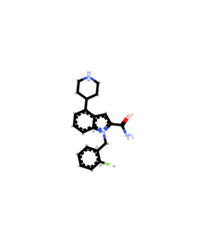 NC(=O)c1cc2c(C3CCNCC3)cccc2n1Cc1ccccc1F